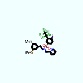 CSc1cc(CCN(Cc2ccccn2)S(=O)(=O)c2ccc(I)c(C(Br)(Br)C(Br)(Br)Br)c2)cc(SC(C)C)c1